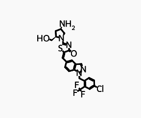 N[C@@H]1C[C@H](CO)N(C2=NC(=O)C(=Cc3ccc4c(cnn4Cc4ccc(Cl)cc4C(F)(F)F)c3)S2)C1